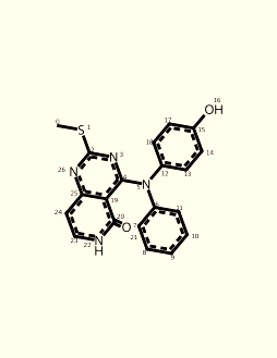 CSc1nc(N(c2ccccc2)c2ccc(O)cc2)c2c(=O)[nH]ccc2n1